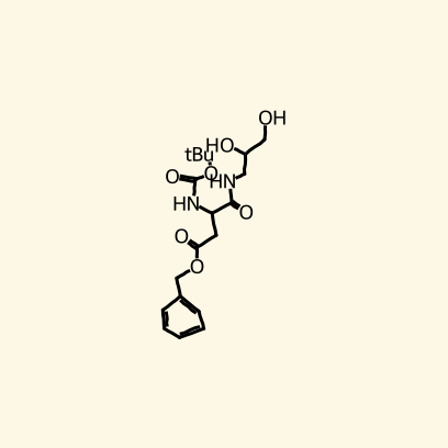 CC(C)(C)OC(=O)NC(CC(=O)OCc1ccccc1)C(=O)NCC(O)CO